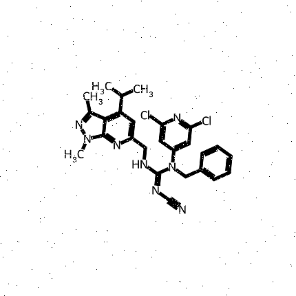 Cc1nn(C)c2nc(CN/C(=N/C#N)N(Cc3ccccc3)c3cc(Cl)nc(Cl)c3)cc(C(C)C)c12